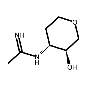 CC(=N)N[C@@H]1CCOC[C@H]1O